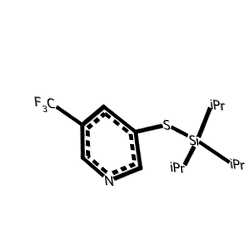 CC(C)[Si](Sc1cncc(C(F)(F)F)c1)(C(C)C)C(C)C